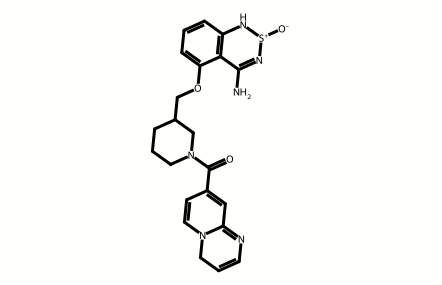 NC1=N[S+]([O-])Nc2cccc(OCC3CCCN(C(=O)C4=CC5=NC=CCN5C=C4)C3)c21